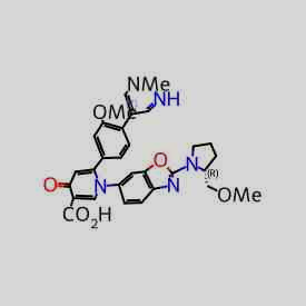 CN/C=C(\C=N)c1ccc(-c2cc(=O)c(C(=O)O)cn2-c2ccc3nc(N4CCC[C@@H]4COC)oc3c2)cc1OC